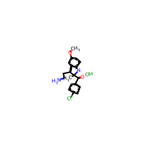 COc1ccc2c(c1)=C(CCN)C(C)(C(=O)c1ccc(Cl)cc1)N=2.Cl